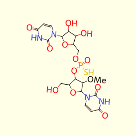 COC1C(OP(=O)(S)OCC2OC(n3ccc(=O)[nH]c3=O)C(O)C2O)C(CO)OC1n1ccc(=O)[nH]c1=O